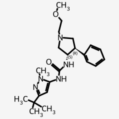 COCCN1C[C@@H](NC(=O)Nc2cc(C(C)(C)C)nn2C)[C@H](c2ccccc2)C1